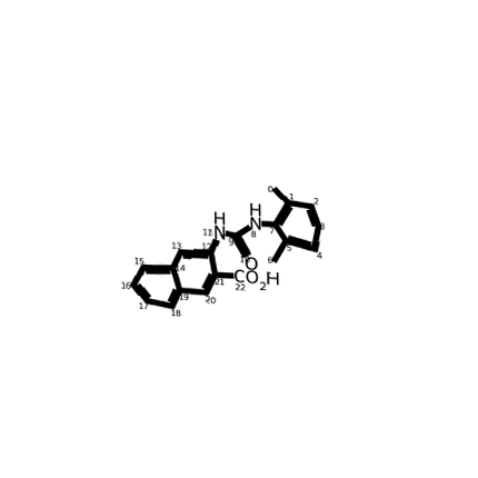 Cc1cccc(C)c1NC(=O)Nc1cc2ccccc2cc1C(=O)O